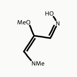 CN/C=C(\C=N/O)OC